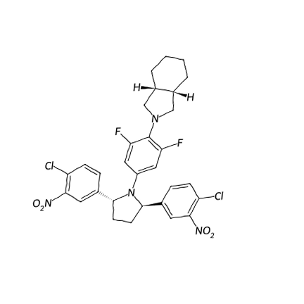 O=[N+]([O-])c1cc([C@H]2CC[C@H](c3ccc(Cl)c([N+](=O)[O-])c3)N2c2cc(F)c(N3C[C@H]4CCCC[C@H]4C3)c(F)c2)ccc1Cl